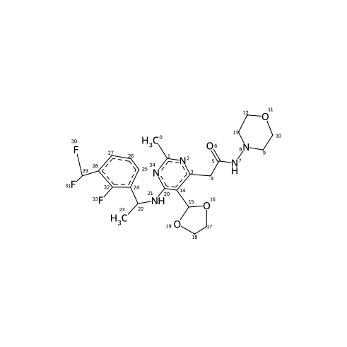 Cc1nc(CC(=O)NN2CCOCC2)c(C2OCCO2)c(NC(C)c2cccc(C(F)F)c2F)n1